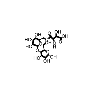 O=C(O)C(O)C(O)C(=O)OC[C@H]1O[C@@H](O[C@H]2[C@H](O)[C@@H](O)[C@@H](O)O[C@@H]2CO)[C@H](O)[C@@H](O)[C@H]1O